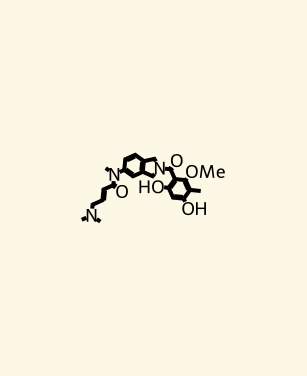 COc1c(C)c(O)cc(O)c1C(=O)N1Cc2ccc(N(C)C(=O)/C=C/CN(C)C)cc2C1